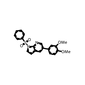 COc1ccc(-c2cnc3c(ccn3S(=O)(=O)c3ccccc3)c2)cc1OC